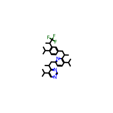 CC(C)c1ccc(CC(C)c2nc(CC(C)c3ncncc3C(C)C)ccc2C(C)C)cc1C(C)C(F)(F)F